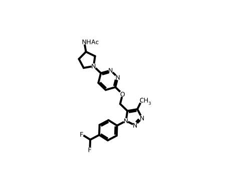 CC(=O)NC1CCN(c2ccc(OCc3c(C)nnn3-c3ccc(C(F)F)cc3)nn2)C1